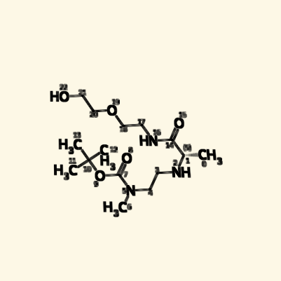 C[C@H](NCCN(C)C(=O)OC(C)(C)C)C(=O)NCCOCCO